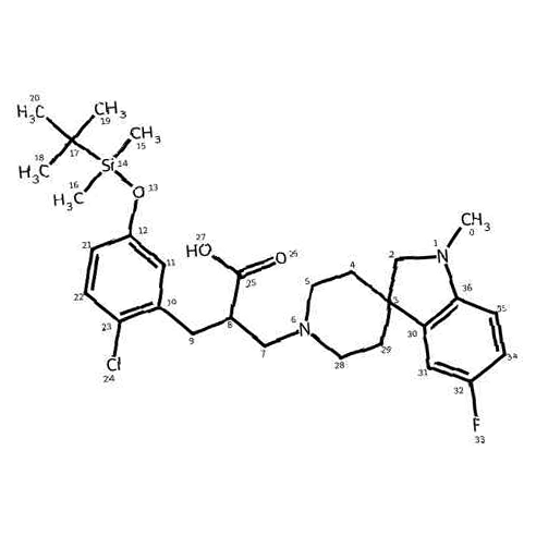 CN1CC2(CCN(CC(Cc3cc(O[Si](C)(C)C(C)(C)C)ccc3Cl)C(=O)O)CC2)c2cc(F)ccc21